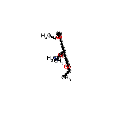 CCCC/C=C\COC1(OCCCCCCCCCCC(CCCCCCCCCC(=O)OC/C=C\CCCCCC)CC(=O)OCCCN(C)C)CCCCC1